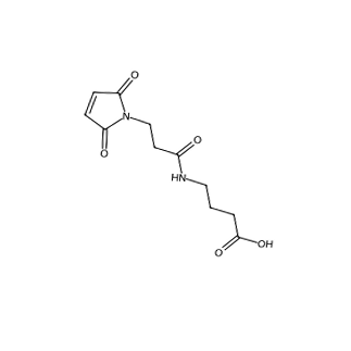 O=C(O)CCCNC(=O)CCN1C(=O)C=CC1=O